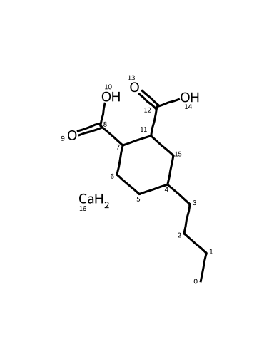 CCCCC1CCC(C(=O)O)C(C(=O)O)C1.[CaH2]